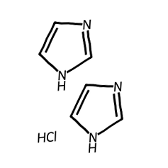 Cl.c1c[nH]cn1.c1c[nH]cn1